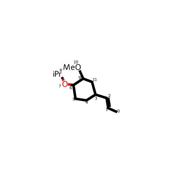 C/C=C/C1CCC(OC(C)C)C(OC)C1